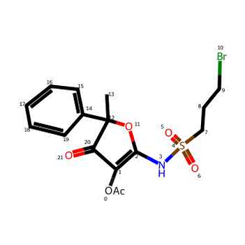 CC(=O)OC1=C(NS(=O)(=O)CCCBr)OC(C)(c2ccccc2)C1=O